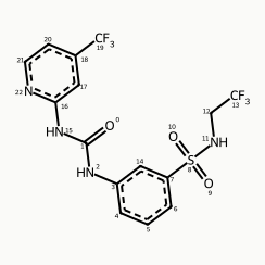 O=C(Nc1cccc(S(=O)(=O)NCC(F)(F)F)c1)Nc1cc(C(F)(F)F)ccn1